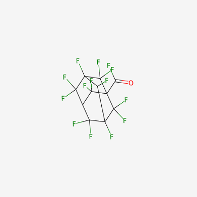 O=C(F)C12C(F)(F)C3C(F)(F)C(F)(C(F)C(F)(C3(F)F)C1(F)F)C2(F)F